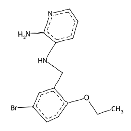 CCOc1ccc(Br)cc1CNc1cccnc1N